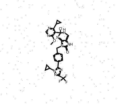 COc1ncnc(C2CC2)c1C1(Cl)N=c2c([nH]c(=O)n2Cc2ccc(-c3nc(C(F)(F)F)nn3C3CC3)cc2)=CN1